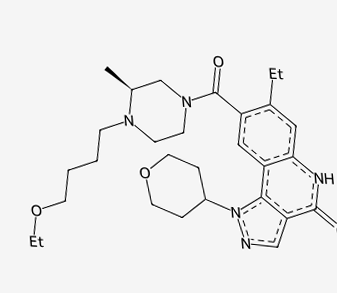 CCOCCCCN1CCN(C(=O)c2cc3c(cc2CC)[nH]c(=O)c2cnn(C4CCOCC4)c23)C[C@@H]1C